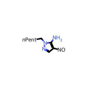 CCCCCCn1ncc(N=O)c1N